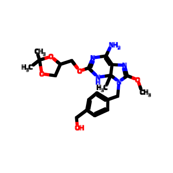 COC1=NC2=C(N)N=C(OCC3COC(C)(C)O3)NC2(C)N1Cc1ccc(CO)cc1